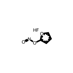 F.O=NOc1ccco1